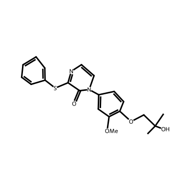 COc1cc(-n2ccnc(Sc3ccccc3)c2=O)ccc1OCC(C)(C)O